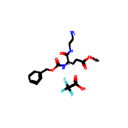 CC(C)(C)OC(=O)CC[C@@H](NC(=O)OCc1ccccc1)C(=O)NCCN.O=C(O)C(F)(F)F